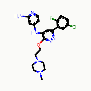 CN1CCN(CCOc2nnc(-c3cc(Cl)ccc3F)cc2Nc2ccnc(N)c2)CC1